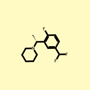 C[C@H](c1cc(C(F)F)ccc1F)N1CCCCC1